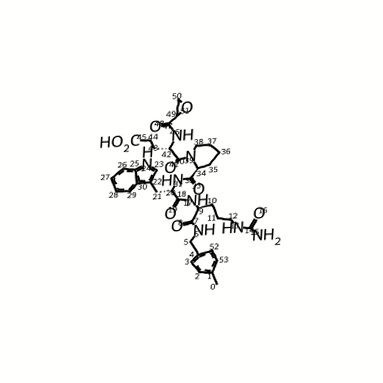 Cc1ccc(CNC(=O)[C@H](CCCNC(N)=O)NC(=O)[C@H](Cc2c[nH]c3ccccc23)NC(=O)[C@@H]2CCCCN2C(=O)[C@H](CCC(=O)O)NC(=O)C2CO2)cc1